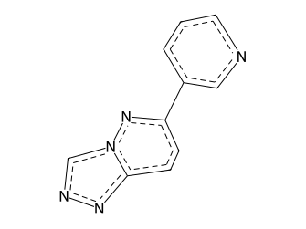 c1cncc(-c2ccc3nncn3n2)c1